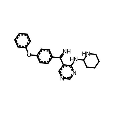 N=C(c1ccc(Oc2ccccc2)cc1)c1cncnc1NC1CCCCN1